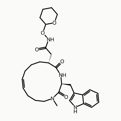 CN1CCCC=CCCC[C@H](CC(=O)NOC2CCCCO2)C(=O)N[C@@H](Cc2c[nH]c3ccccc23)C1=O